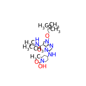 CC1CC(Nc2cnc3c(n2)c(C(=O)NC(C)(C)C)cn3COCC[Si](C)(C)C)CCN1C(=O)O